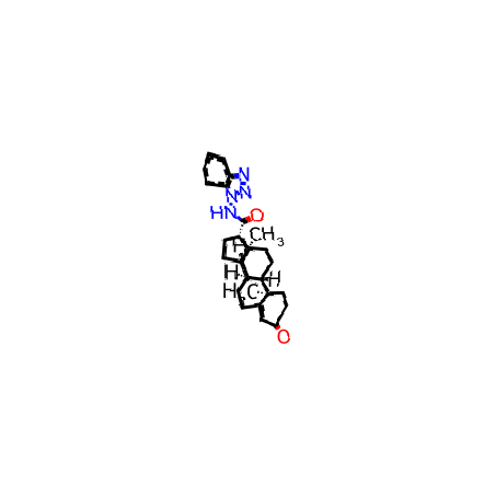 C[C@]12CC[C@H]3[C@@H](CCC4=CC(=O)CC[C@@]43C)[C@@H]1CC[C@@H]2C(=O)Nn1nnc2ccccc21